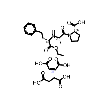 CCOC(=O)[C@H](CCc1ccccc1)N[C@@H](C)C(=O)N1CCC[C@H]1C(=O)O.O=C(O)/C=C\C(=O)O.O=C(O)CCC(=O)O